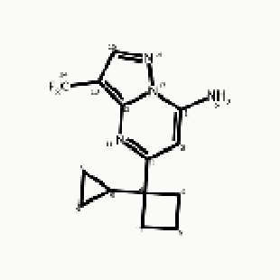 Nc1cc(C2(C3CC3)CCC2)nc2c(C(F)(F)F)cnn12